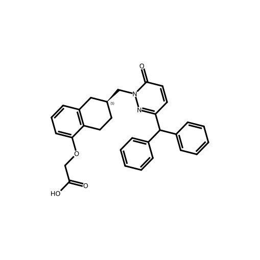 O=C(O)COc1cccc2c1CC[C@H](Cn1nc(C(c3ccccc3)c3ccccc3)ccc1=O)C2